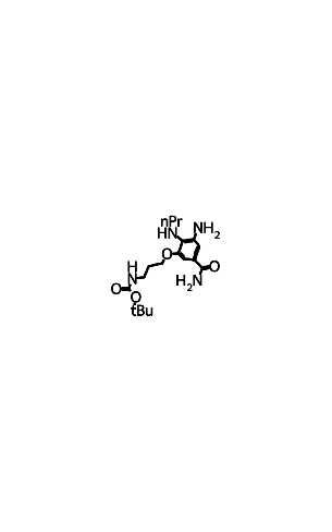 CCCNc1c(N)cc(C(N)=O)cc1OCCCNC(=O)OC(C)(C)C